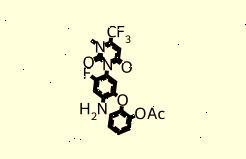 CC(=O)Oc1ccccc1Oc1cc(-n2c(=O)cc(C(F)(F)F)n(C)c2=O)c(F)cc1N